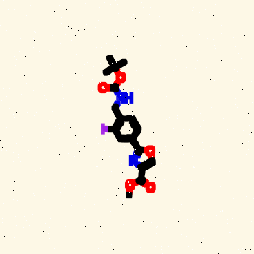 COC(=O)c1coc(-c2ccc(CNC(=O)OC(C)(C)C)c(I)c2)n1